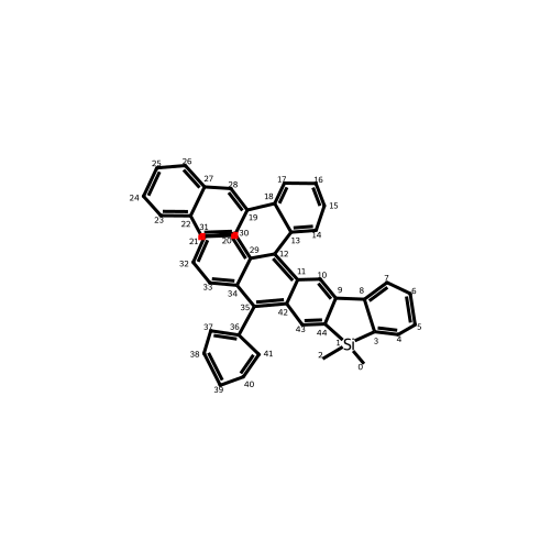 C[Si]1(C)c2ccccc2-c2cc3c(-c4ccccc4-c4ccc5ccccc5c4)c4ccccc4c(-c4ccccc4)c3cc21